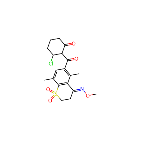 CON=C1CCS(=O)(=O)c2c(C)cc(C(=O)C3C(=O)CCCC3Cl)c(C)c21